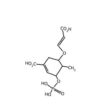 CC1C(OP(=O)(O)O)C=C(C(=O)O)CC1OC=CC(=O)O